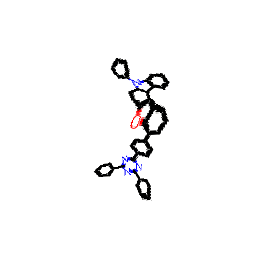 C1=CC2C(c3ccccc3N2c2ccccc2)c2c1oc1c(-c3ccc(-c4nc(-c5ccccc5)nc(-c5ccccc5)n4)cc3)cccc21